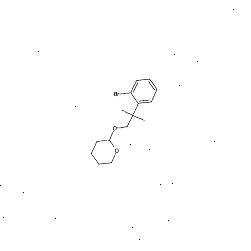 CC(C)(COC1CCCCO1)c1ccccc1Br